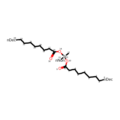 CCCCCCCCCCCCCCCCCC(=O)O[Si](C)(CCCCCCCCC)OC(=O)CCCCCCCCCCCCCCCCC